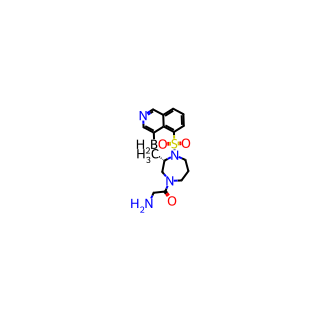 Bc1cncc2cccc(S(=O)(=O)N3CCCN(C(=O)CN)C[C@@H]3C)c12